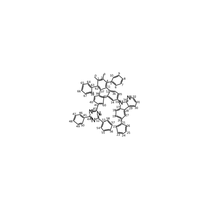 Cc1c(C)c(-c2ccccc2)c(-c2ccc(-n3c4ccc(-c5ccccc5)cc4c4cccnc43)cc2)c(-c2ccc(-c3nc(-c4ccccc4)nc(-c4ccccc4)n3)cc2)c1-c1ccccc1